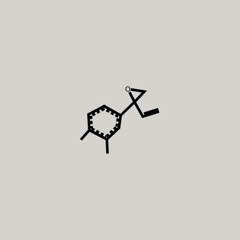 C=CC1(c2ccc(C)c(C)c2)CO1